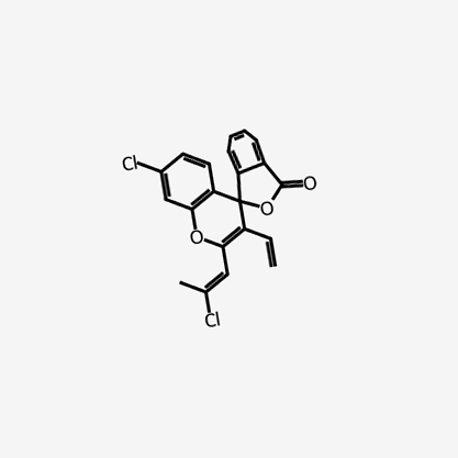 C=CC1=C(/C=C(\C)Cl)Oc2cc(Cl)ccc2C12OC(=O)c1ccccc12